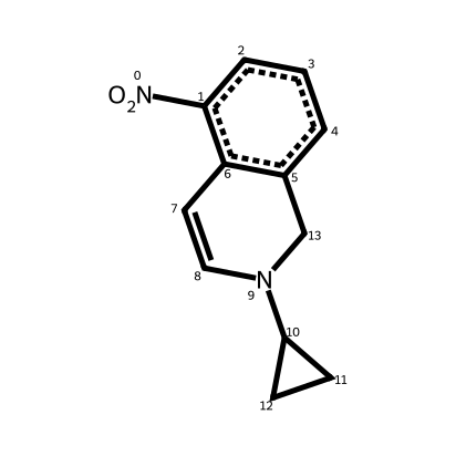 O=[N+]([O-])c1cccc2c1C=CN(C1CC1)C2